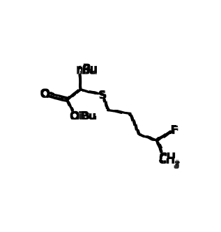 CCCCC(SCCCC(C)F)C(=O)OCC(C)C